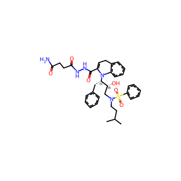 CC(C)CCN(C[C@@H](O)[C@H](Cc1ccccc1)N1C(C(=O)NNC(=O)CCC(N)=O)=CCc2ccccc21)S(=O)(=O)c1ccccc1